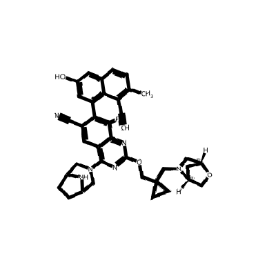 C#Cc1c(C)ccc2cc(O)cc(-c3c(C#N)cc4c(N5CC6CCC(C5)N6)nc(OCC5(CN6C[C@H]7C[C@@H]6CO7)CC5)nc4c3F)c12